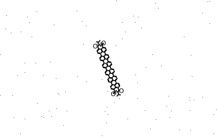 CC(C)N1C(=O)c2ccc3c4ccc5c6ccc7c8ccc9c%10ccc%11c%12ccc%13c%14c(ccc(c%15ccc(c%16ccc(c%17ccc(c%18ccc(c%19ccc(c2c3%19)C1=O)c4c5%18)c6c7%17)c8c9%16)c%10c%11%15)c%14%12)C(=O)N(C(C)C)C%13=O